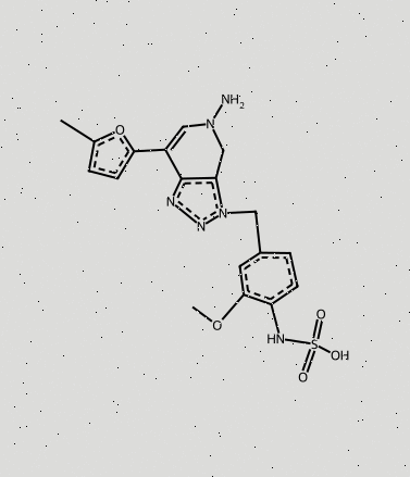 COc1cc(Cn2nnc3c2CN(N)C=C3c2ccc(C)o2)ccc1NS(=O)(=O)O